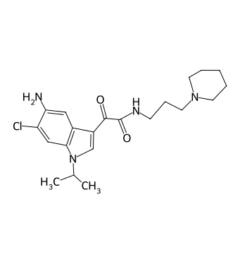 CC(C)n1cc(C(=O)C(=O)NCCCN2CCCCC2)c2cc(N)c(Cl)cc21